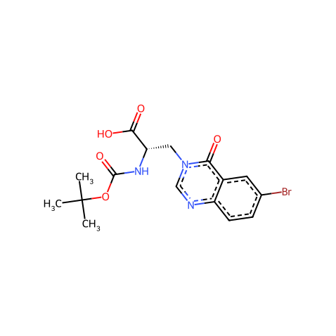 CC(C)(C)OC(=O)N[C@@H](Cn1cnc2ccc(Br)cc2c1=O)C(=O)O